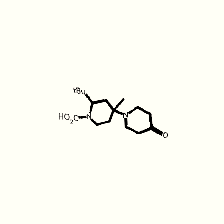 CC(C)(C)C1CC(C)(N2CCC(=O)CC2)CCN1C(=O)O